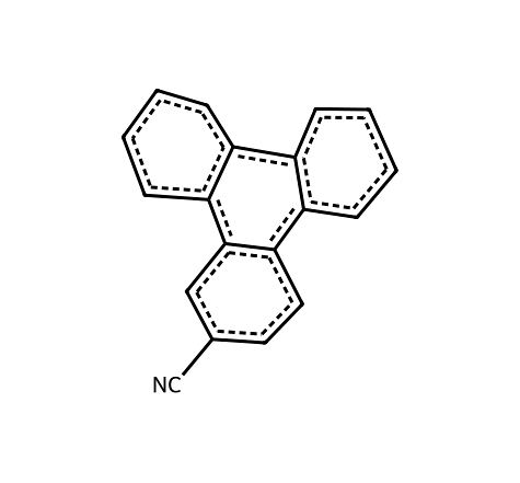 N#Cc1ccc2c3ccccc3c3ccccc3c2c1